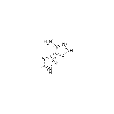 Nc1nc[nH]n1.c1c[nH]nn1